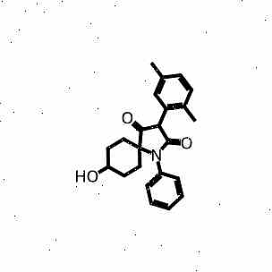 Cc1ccc(C)c(C2C(=O)N(c3ccccc3)C3(CCC(O)CC3)C2=O)c1